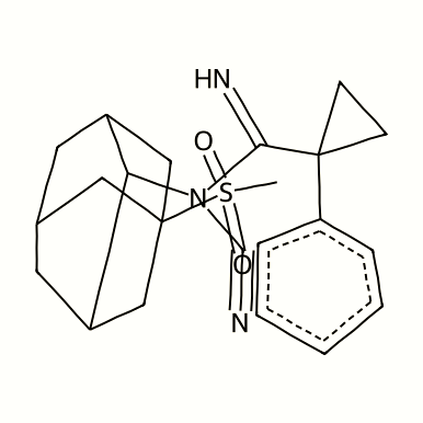 CS(=O)(=O)C12CC3CC(C1)C(N(C#N)C(=N)C1(c4ccccc4)CC1)C(C3)C2